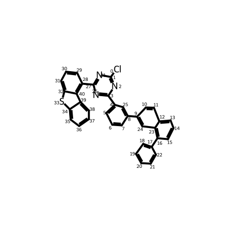 Clc1nc(-c2cccc(-c3ccc4cccc(-c5ccccc5)c4c3)c2)nc(-c2cccc3sc4ccccc4c23)n1